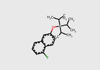 CC(C)[Si](Oc1ccc2c(F)[c]ccc2c1)(C(C)C)C(C)C